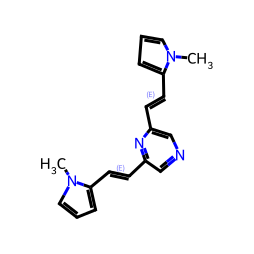 Cn1cccc1/C=C/c1cncc(/C=C/c2cccn2C)n1